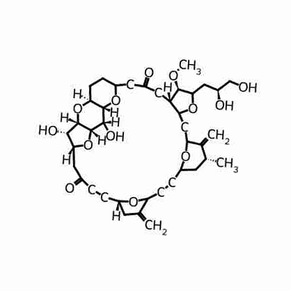 C=C1C[C@@H]2CCC(=O)C[C@H]3O[C@H]4[C@@H](O)[C@H]5OC(CC[C@@H]5O[C@H]4[C@H]3O)CC(=O)C[C@H]3C(CC4OC(CCC1O2)C[C@@H](C)C4=C)OC(C[C@H](O)CO)[C@@H]3OC